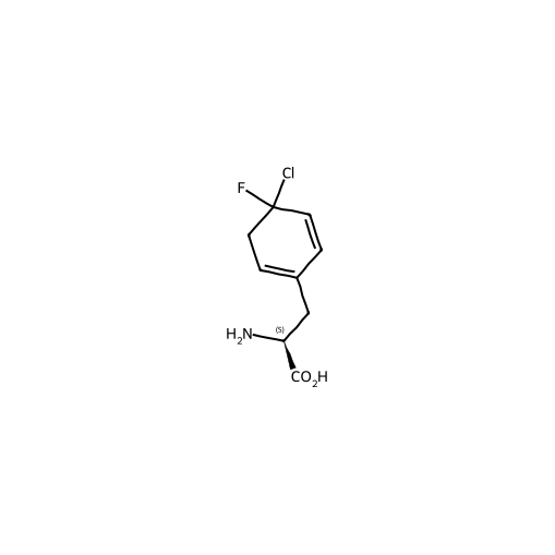 N[C@@H](CC1=CCC(F)(Cl)C=C1)C(=O)O